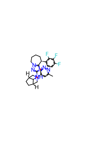 Cc1cc(N2C[C@H]3CC[C@@H](C2)C3Nc2nc3n(n2)CCCC[C@H]3c2ccc(F)c(F)c2F)cnn1